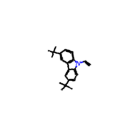 C=Cn1c2ccc(C(C)(C)C)cc2c2cc(C(C)(C)C)ccc21